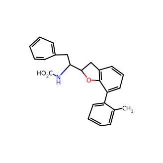 Cc1ccccc1-c1cccc2c1OC(C(Cc1ccccc1)NC(=O)O)C2